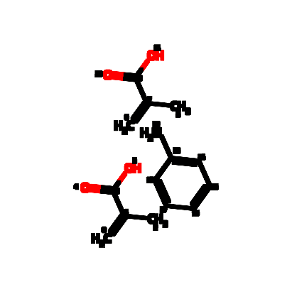 C=C(C)C(=O)O.C=C(C)C(=O)O.[BiH2][c]1ccccc1